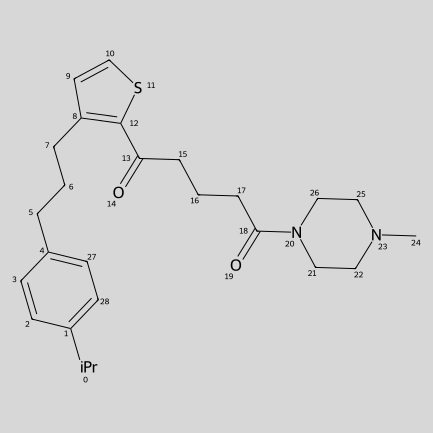 CC(C)c1ccc(CCCc2ccsc2C(=O)CCCC(=O)N2CCN(C)CC2)cc1